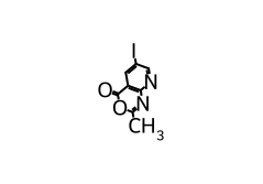 Cc1nc2ncc(I)cc2c(=O)o1